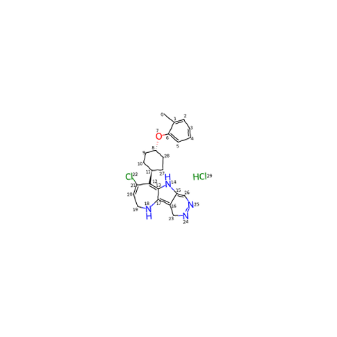 Cc1ccccc1O[C@H]1CC[C@H](C2=c3[nH]c4c(c3NCC=C2Cl)CN=NC=4)CC1.Cl